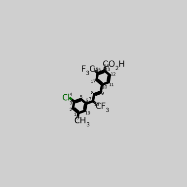 Cc1cc(Cl)cc(C(/C=C/c2ccc(C(=O)O)c(C(F)(F)F)c2)C(F)(F)F)c1